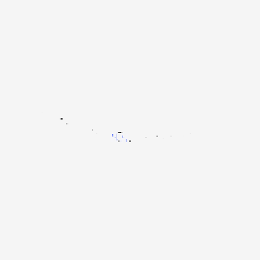 CCCCCCCCCCCCCCCCCn1cc[n+](CCCCCCCCCCCCCC)c1C